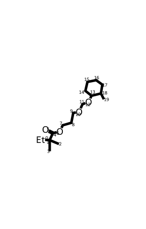 CCC(C)(C)C(=O)OCCCOCOC1CCCCC1C